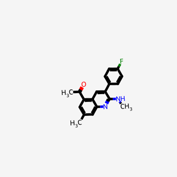 CNc1nc2cc(C)cc(C(C)=O)c2cc1-c1ccc(F)cc1